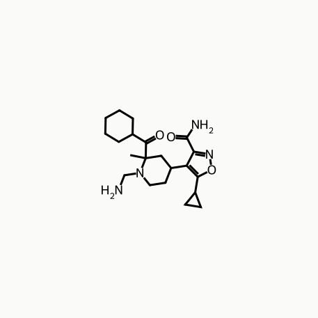 CC1(C(=O)C2CCCCC2)CC(c2c(C(N)=O)noc2C2CC2)CCN1CN